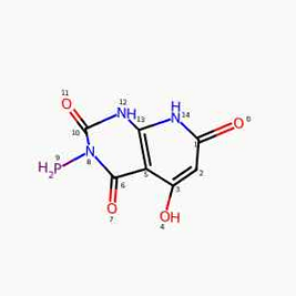 O=c1cc(O)c2c(=O)n(P)c(=O)[nH]c2[nH]1